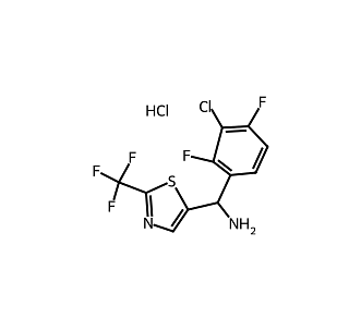 Cl.NC(c1cnc(C(F)(F)F)s1)c1ccc(F)c(Cl)c1F